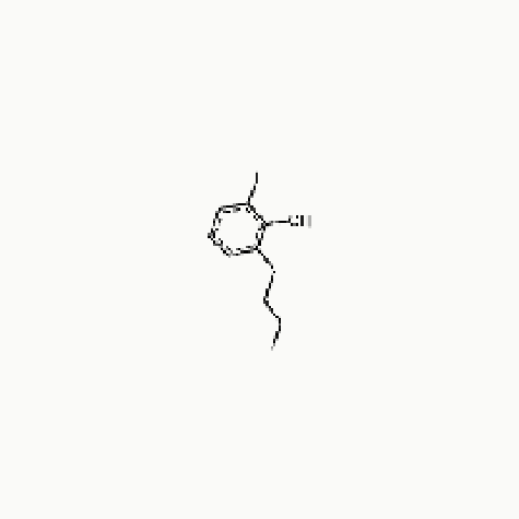 CCCCc1cccc(I)c1O